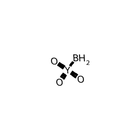 [BH2][Y](=[O])(=[O])=[O]